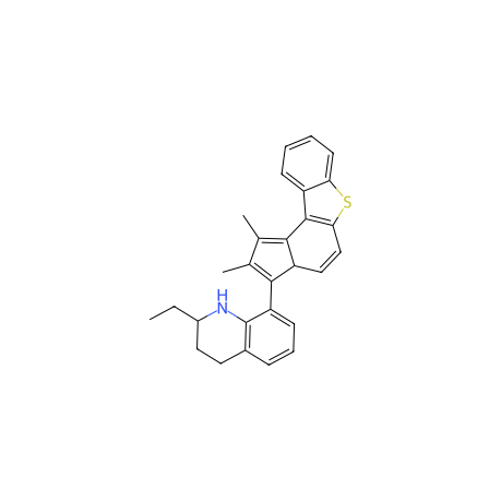 CCC1CCc2cccc(C3=C(C)C(C)=C4c5c(sc6ccccc56)C=CC34)c2N1